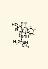 CNC(C)C(=O)NC(C(=O)N1CCCC1C(=O)O)C1CCCCC1